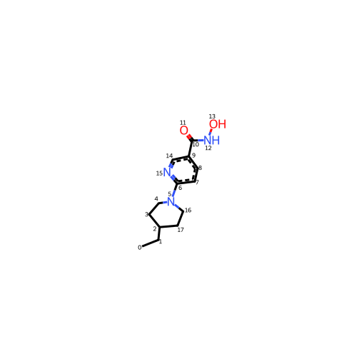 CCC1CCN(c2ccc(C(=O)NO)cn2)CC1